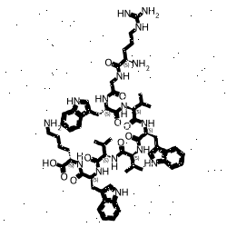 CC(C)[C@H](NC(=O)[C@H](Cc1c[nH]c2ccccc12)NC(=O)CNC(=O)[C@@H](N)CCCNC(=N)N)C(=O)N[C@@H](Cc1c[nH]c2ccccc12)C(=O)N[C@H](C(=O)N[C@H](C(=O)N[C@@H](Cc1c[nH]c2ccccc12)C(=O)N[C@@H](CCCCN)C(=O)O)C(C)C)C(C)C